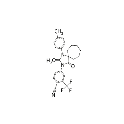 C=C1N(c2ccc(C#N)c(C(F)(F)F)c2)C(=O)C2(CCCCCC2)N1c1ccc(C)cc1